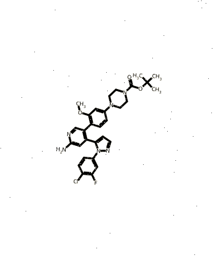 COc1cc(N2CCN(C(=O)OC(C)(C)C)CC2)ccc1-c1cnc(N)cc1-c1ccnn1-c1ccc(Cl)c(F)c1